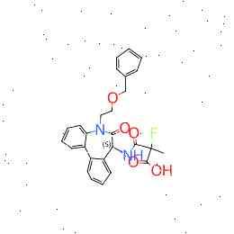 CC(F)(C(=O)O)C(=O)N[C@@H]1C(=O)N(CCOCc2ccccc2)c2ccccc2-c2ccccc21